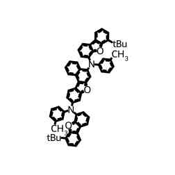 Cc1cccc(N(c2ccc3c(c2)oc2cc(N(c4cccc(C)c4)c4cccc5c4oc4c(C(C)(C)C)cccc45)c4ccccc4c23)c2cccc3c2oc2c(C(C)(C)C)cccc23)c1